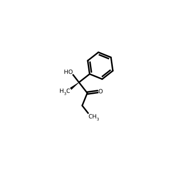 CCC(=O)[C@](C)(O)c1ccccc1